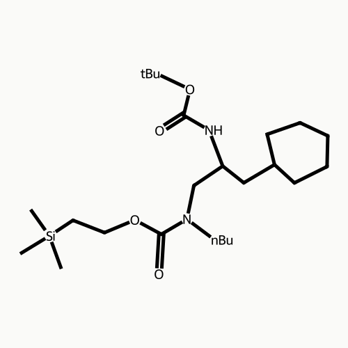 CCCCN(CC(CC1CCCCC1)NC(=O)OC(C)(C)C)C(=O)OCC[Si](C)(C)C